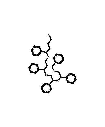 SCCCC(SCCC(SCC(SC(CSCc1ccccc1)c1ccccc1)c1ccccc1)c1ccccc1)c1ccccc1